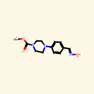 CC(C)(C)OC(=O)N1CCN(c2ccc(/C=N/O)cc2)CC1